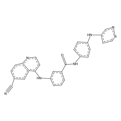 N#Cc1ccc2nccc(Nc3cccc(C(=O)Nc4ccc(Nc5ccnnc5)cc4)c3)c2c1